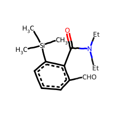 CCN(CC)C(=O)c1c(C=O)cccc1[Si](C)(C)C